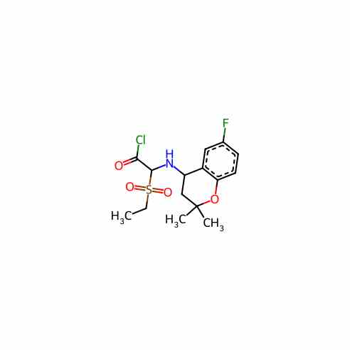 CCS(=O)(=O)C(NC1CC(C)(C)Oc2ccc(F)cc21)C(=O)Cl